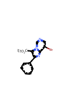 CCOC(=O)c1c(-c2ccccc2)nc2c(Br)cncn12